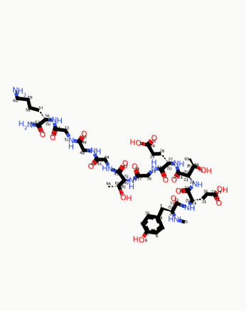 CN[C@@H](Cc1ccc(O)cc1)C(=O)N[C@@H](CCC(=O)O)C(=O)N[C@H](C(=O)N[C@@H](CCC(=O)O)C(=O)NCC(=O)N[C@H](C(=O)NCC(=O)NCC(=O)NCC(=O)N[C@@H](CCCCN)C(N)=O)[C@@H](C)O)[C@@H](C)O